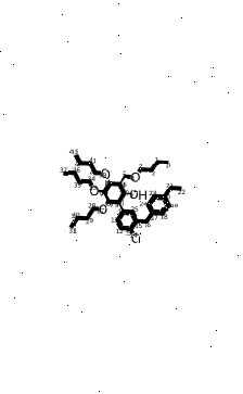 CCCCOC[C@H]1[C@H](O)[C@@H](c2ccc(Cl)c(Cc3ccc(CC)cc3)c2)[C@H](OCCCC)[C@@H](OCCCC)[C@@H]1OCCCC